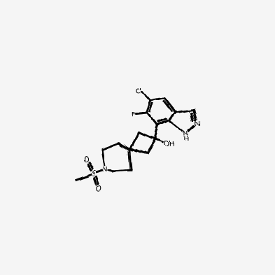 CS(=O)(=O)N1CCC2(CC1)CC(O)(c1c(F)c(Cl)cc3cn[nH]c13)C2